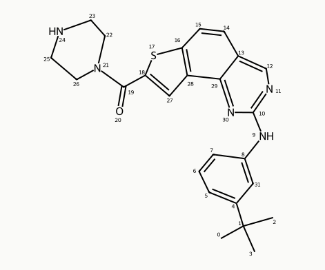 CC(C)(C)c1cccc(Nc2ncc3ccc4sc(C(=O)N5CCNCC5)cc4c3n2)c1